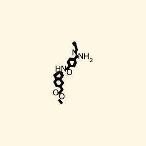 C#CCN=C(N)c1ccc(C(=O)Nc2ccc3c(c2)CC(CC(=O)OCC)CC3)cc1